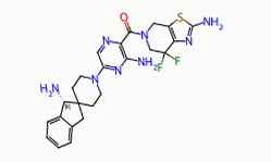 Nc1nc2c(s1)CN(C(=O)c1ncc(N3CCC4(CC3)Cc3ccccc3[C@@H]4N)nc1N)CC2(F)F